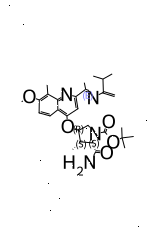 C=C(/N=C(\C)c1cc(O[C@H]2CN(C(=O)OC(C)(C)C)[C@H](C(N)=O)[C@@H]2C)c2ccc(OC)c(C)c2n1)C(C)C